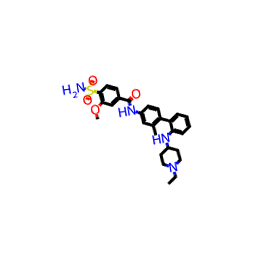 CCN1CCC(Nc2ccccc2-c2ccc(NC(=O)c3ccc(S(N)(=O)=O)c(OC)c3)cc2C)CC1